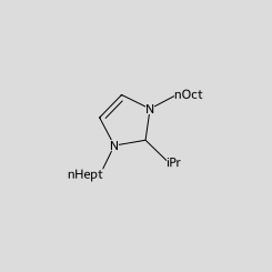 CCCCCCCCN1C=CN(CCCCCCC)C1C(C)C